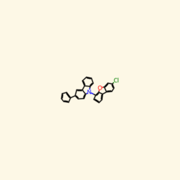 Clc1ccc2c(c1)oc1c(-n3c4ccccc4c4cc(-c5ccccc5)ccc43)cccc12